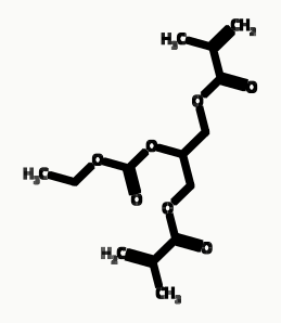 C=C(C)C(=O)OCC(COC(=O)C(=C)C)OC(=O)OCC